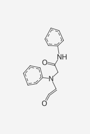 O=C=CN(CC(=O)Nc1ccccc1)c1ccccc1